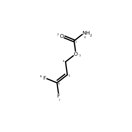 NC(=O)OCC=C(F)F